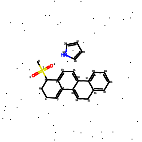 CS(=O)(=O)C1CCC=c2c1ccc1c2=CCc2ccccc2-1.c1cc[nH]c1